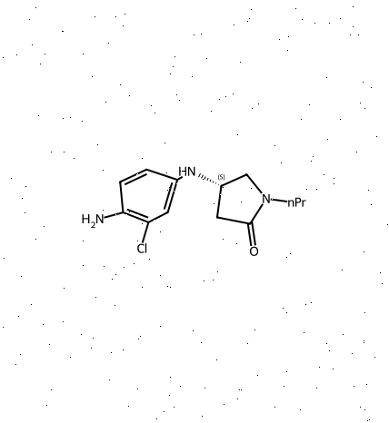 CCCN1C[C@@H](Nc2ccc(N)c(Cl)c2)CC1=O